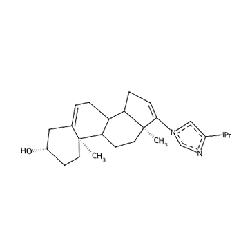 CC(C)c1cn(C2=CCC3C4CC=C5C[C@@H](O)CC[C@]5(C)C4CC[C@]23C)cn1